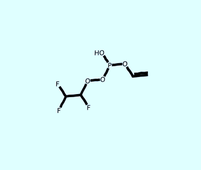 C=COP(O)OOC(F)C(F)F